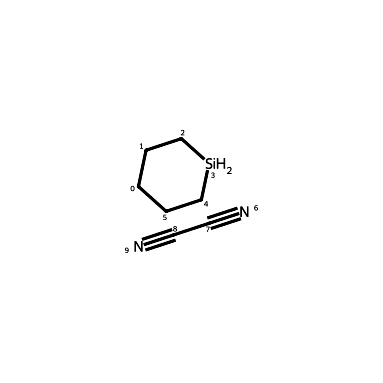 C1CC[SiH2]CC1.N#CC#N